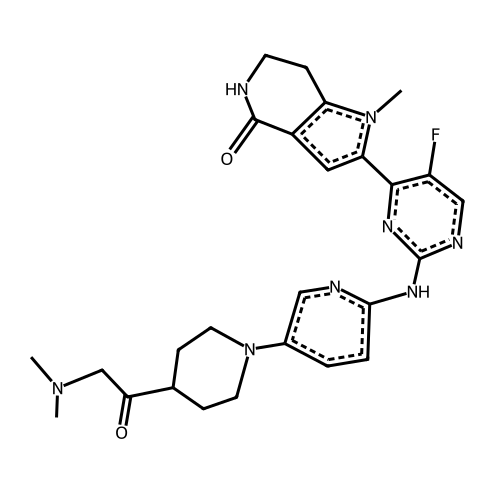 CN(C)CC(=O)C1CCN(c2ccc(Nc3ncc(F)c(-c4cc5c(n4C)CCNC5=O)n3)nc2)CC1